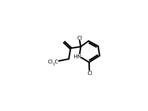 C=C(CC(Cl)(Cl)Cl)C1(Cl)C=CC=C(Cl)N1